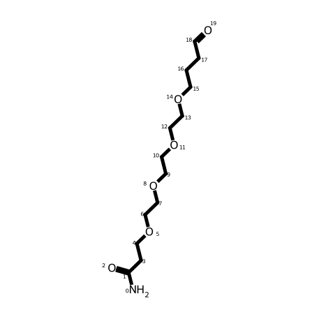 NC(=O)CCOCCOCCOCCOCCCC=O